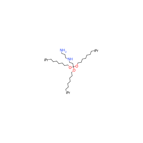 CC(C)CCCCCCCOC(CCNCCCN)(OCCCCCCCC(C)C)OCCCCCCCC(C)C